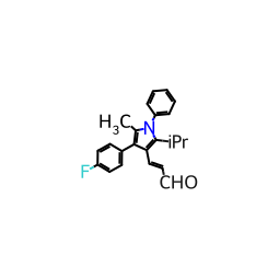 Cc1c(-c2ccc(F)cc2)c(C=CC=O)c(C(C)C)n1-c1ccccc1